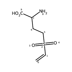 C=CS(=O)(=O)CCC(N)C(=O)O